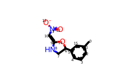 Cc1cccc(C2CNC(=C[N+](=O)[O-])O2)c1